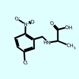 CC(NCc1cc(Cl)ccc1[N+](=O)[O-])C(=O)O